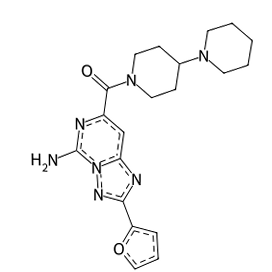 Nc1nc(C(=O)N2CCC(N3CCCCC3)CC2)cc2nc(-c3ccco3)nn12